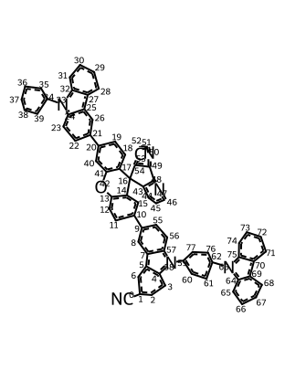 N#Cc1ccc2c(c1)c1cc(-c3ccc4c(c3)C3(c5ccc(-c6ccc7c(c6)c6ccccc6n7-c6ccccc6)cc5O4)c4cccnc4-c4ncccc43)ccc1n2-c1ccc(-n2c3ccccc3c3ccccc32)cc1